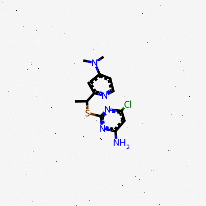 CC(Sc1nc(N)cc(Cl)n1)c1cc(N(C)C)ccn1